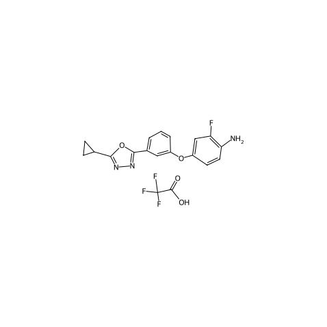 Nc1ccc(Oc2cccc(-c3nnc(C4CC4)o3)c2)cc1F.O=C(O)C(F)(F)F